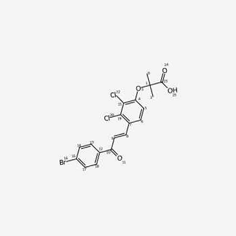 CC(C)(Oc1ccc(/C=C/C(=O)c2ccc(Br)cc2)c(Cl)c1Cl)C(=O)O